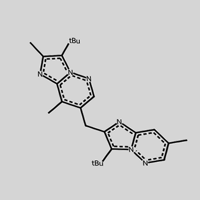 Cc1cnn2c(C(C)(C)C)c(Cc3cnn4c(C(C)(C)C)c(C)nc4c3C)nc2c1